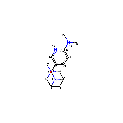 CN1CC2CC(C1)N2Cc1ccc(N(C)C)nc1